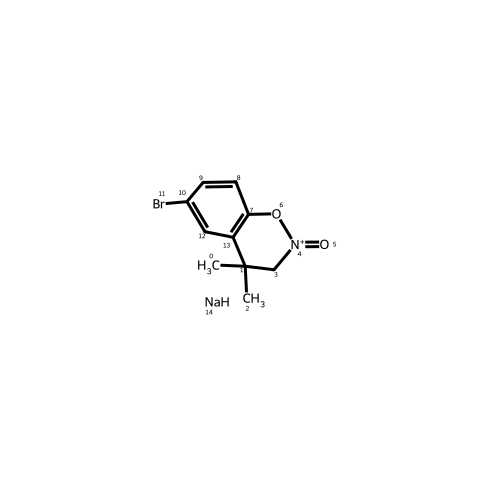 CC1(C)C[N+](=O)Oc2ccc(Br)cc21.[NaH]